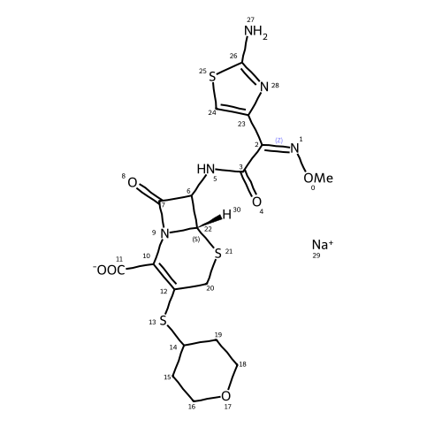 CO/N=C(\C(=O)NC1C(=O)N2C(C(=O)[O-])=C(SC3CCOCC3)CS[C@@H]12)c1csc(N)n1.[Na+]